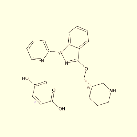 O=C(O)/C=C\C(=O)O.c1ccc(-n2nc(OC[C@H]3CCCNC3)c3ccccc32)nc1